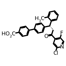 Cc1ccccc1[C@H](CC(=O)c1cc(Cl)ncc1F)c1ccc(-c2ccc(C(=O)O)cc2)cc1